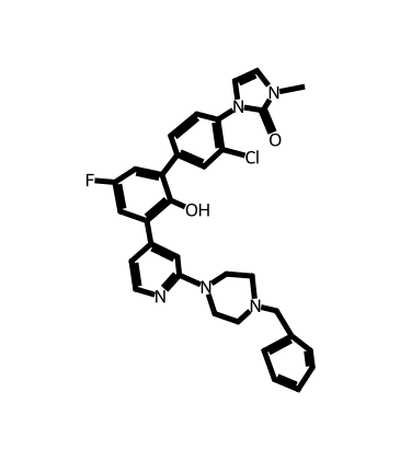 Cn1ccn(-c2ccc(-c3cc(F)cc(-c4ccnc(N5CCN(Cc6ccccc6)CC5)c4)c3O)cc2Cl)c1=O